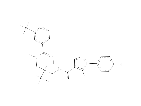 CN(CC(O)(CNC(=O)c1cnn(-c2ccc(F)cc2)c1N)C(F)(F)F)C(=O)c1cccc(C(F)(F)F)c1